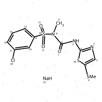 CSc1cnc(NC(=O)N(C)S(=O)(=O)c2cccc(Cl)c2)s1.[NaH]